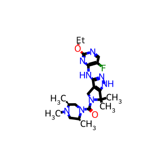 CCOc1ncc(F)c(Nc2n[nH]c3c2CN(C(=O)N2C[C@H](C)N(C)C[C@@H]2C)C3(C)C)n1